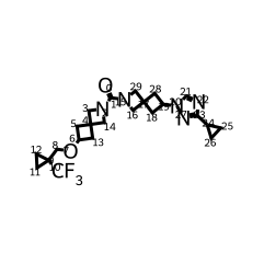 O=C(N1CC2(CC(OCC3(C(F)(F)F)CC3)C2)C1)N1CC2(CC(n3cnc(C4CC4)n3)C2)C1